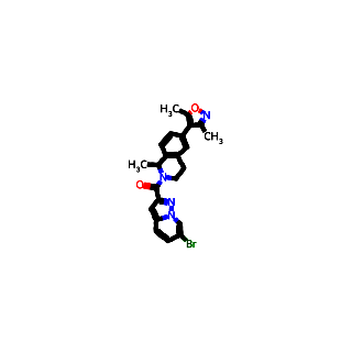 Cc1noc(C)c1-c1ccc2c(c1)CCN(C(=O)c1cc3ccc(Br)cn3n1)C2C